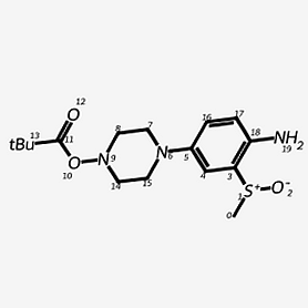 C[S+]([O-])c1cc(N2CCN(OC(=O)C(C)(C)C)CC2)ccc1N